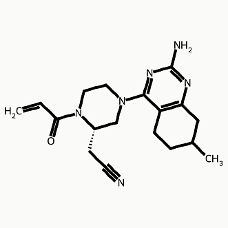 C=CC(=O)N1CCN(c2nc(N)nc3c2CCC(C)C3)C[C@@H]1CC#N